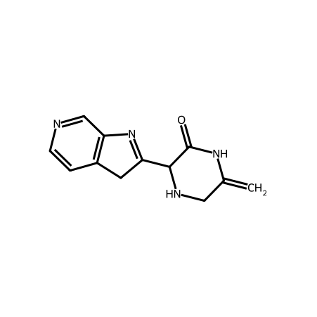 C=C1CNC(C2=Nc3cnccc3C2)C(=O)N1